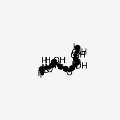 O=C(NC(=O)c1ccc2c(N=Nc3ccc(C(=O)c4ccc(-c5ccc(N=Nc6c(O)ccc7cc(C(=O)NC(=O)Nc8cccc(C(F)(F)F)c8)ccc67)cc5)cc4)cc3)c(O)ccc2c1)Nc1cccc(I)c1